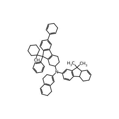 CC1(C)c2cc(N(C3=CC4=C(C=CCC4)CC3)C3CCC4=C(C3)C(c3ccccc3)(C3(C)CCCCC3)c3ccc(C5=CCCC=C5)cc34)ccc2C2CCC=CC21